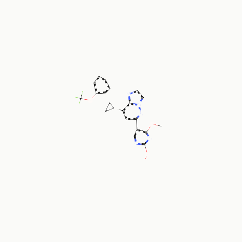 COc1ncc(-c2cc([C@H]3C[C@@H]3c3ccccc3OC(F)(F)F)c3nccn3n2)c(OC)n1